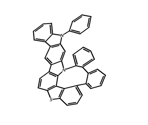 c1ccc(-n2c3ccccc3c3cc4c5ccc6sc7cccc8c9ccccc9c9ccccc9n(c4cc32)c5c6c78)cc1